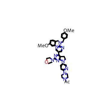 COc1ccc(CN(Cc2ccc(OC)cc2)c2ncc(-c3nc(N4CCOCC4)nc4c3CCN4c3ccc(N4CCN(C(C)=O)CC4)nc3)cn2)cc1